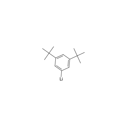 [Li][c]1cc(C(C)(C)C)cc(C(C)(C)C)c1